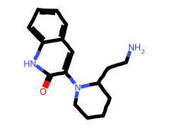 NCCC1CCCCN1c1cc2ccccc2[nH]c1=O